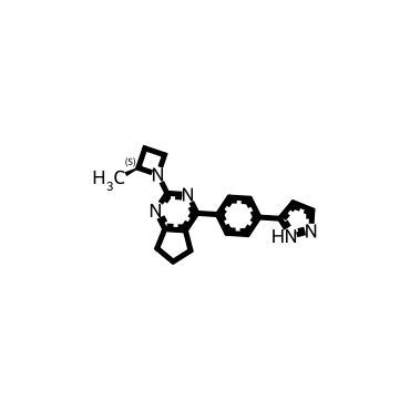 C[C@H]1CCN1c1nc2c(c(-c3ccc(-c4ccn[nH]4)cc3)n1)CCC2